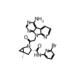 C[C@]12CC1N(C(=O)Cn1c3ncccc3c3c(N)ncnc31)[C@H](C(=O)Nc1cccc(Br)n1)C2